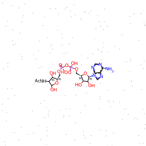 CC(=O)NC1C(O)O[C@H](COP(=O)(O)OP(=O)(O)OC[C@H]2O[C@@H](n3cnc4c(N)ncnc43)C(O)C2O)[C@@H]1O